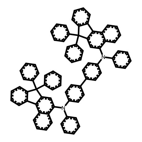 c1ccc(N(c2ccc(-c3ccc(N(c4ccccc4)c4cc5c(c6ccccc46)-c4ccccc4C5(c4ccccc4)c4ccccc4)cc3)cc2)c2cc3c(c4ccccc24)-c2ccccc2C3(c2ccccc2)c2ccccc2)cc1